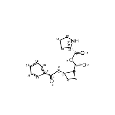 O=C(SC1CCC1C(=O)OC(=O)[C@@H]1CCCN1)c1ccccc1